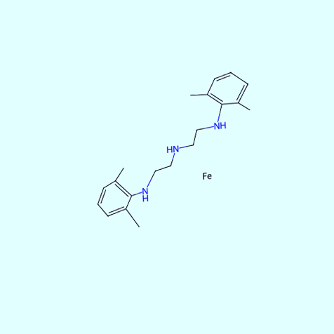 Cc1cccc(C)c1NCCNCCNc1c(C)cccc1C.[Fe]